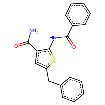 NC(=O)c1cc(Cc2ccccc2)sc1NC(=O)c1ccccc1